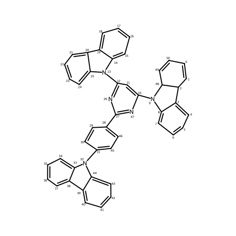 C1=CC2c3ccccc3N(c3cc(-n4c5ccccc5c5ccccc54)nc(-c4ccc(-n5c6ccccc6c6ccccc65)cc4)n3)C2C=C1